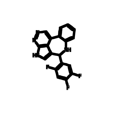 Fc1cc(F)c(C2Nc3ccccc3-c3cnnc4[nH]cc2c34)cc1F